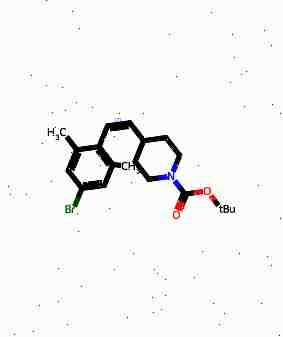 Cc1cc(Br)cc(C)c1/C=C\C1CCN(C(=O)OC(C)(C)C)CC1